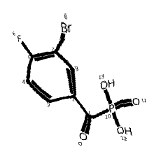 O=C(c1ccc(F)c(Br)c1)P(=O)(O)O